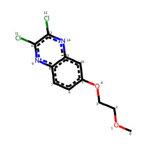 COCCOc1ccc2nc(Cl)c(Cl)nc2c1